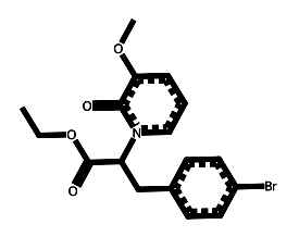 CCOC(=O)C(Cc1ccc(Br)cc1)n1cccc(OC)c1=O